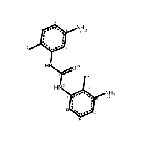 Cc1ccc(N)cc1NC(=O)Nc1cccc(N)c1C